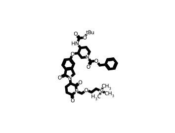 CC(C)(C)OC(=O)NC1CCN(C(=O)OCc2ccccc2)CC1Oc1ccc2c(c1)CN(C1CCC(=O)N(COCC[Si](C)(C)C)C1=O)C2=O